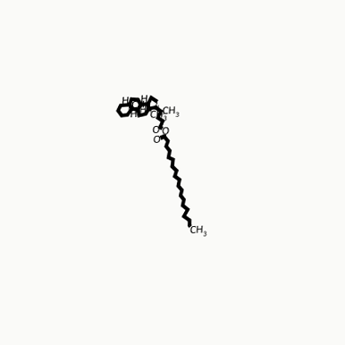 CCCCCCCCCCCCCCCCCCCC(=O)OC(=O)CC[C@@H](C)[C@H]1CC[C@H]2[C@@H]3CC[C@@H]4CCCC[C@]4(C)[C@H]3CC[C@]12C